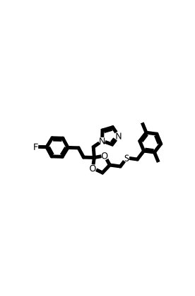 Cc1ccc(C)c(CSCC2COC(CCc3ccc(F)cc3)(Cn3ccnc3)O2)c1